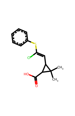 CC1(C)C(C=C(Cl)Sc2ccccc2)C1C(=O)O